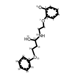 [O]c1ccccc1OCCNC(O)CCOc1ccccc1